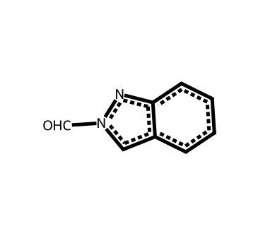 O=Cn1cc2ccccc2n1